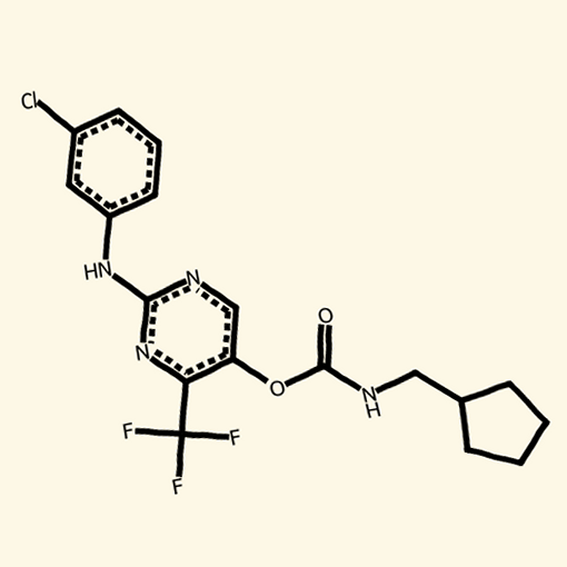 O=C(NCC1CCCC1)Oc1cnc(Nc2cccc(Cl)c2)nc1C(F)(F)F